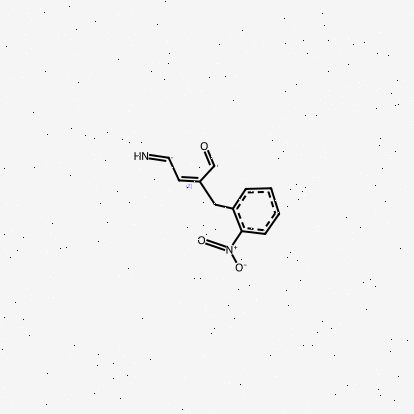 N=[C]/C=C(\[C]=O)Cc1ccccc1[N+](=O)[O-]